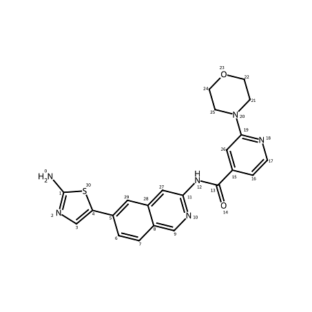 Nc1ncc(-c2ccc3cnc(NC(=O)c4ccnc(N5CCOCC5)c4)cc3c2)s1